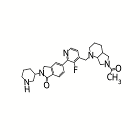 CC(=O)N1CC2CCCN(Cc3ccnc(-c4ccc5c(c4)CN(C4CCCNC4)C5=O)c3F)C2C1